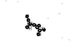 CC1(C2CC=C(C3C=C(c4ccccn4)CC(c4ccccn4)C3)c3ccccc32)C=CC(C2N=C(c3ccc(-c4ccccc4)cc3)N=C(c3ccccc3)N2)=CC1